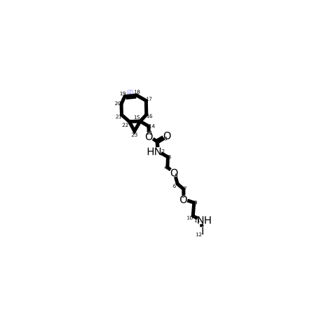 O=C(NCCOCCOCCNI)OCC12CC/C=C\CCC1C2